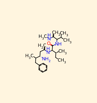 C=C(C[C@H](N)C(C)Cc1ccccc1)NC(C(=O)NC(C(=C)NC)C(C)C)[C@@H](C)CC